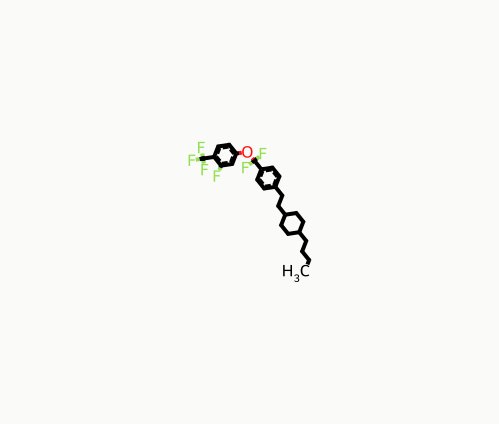 CCCCC1CCC(CCc2ccc(C(F)(F)Oc3ccc(C(F)(F)F)c(F)c3)cc2)CC1